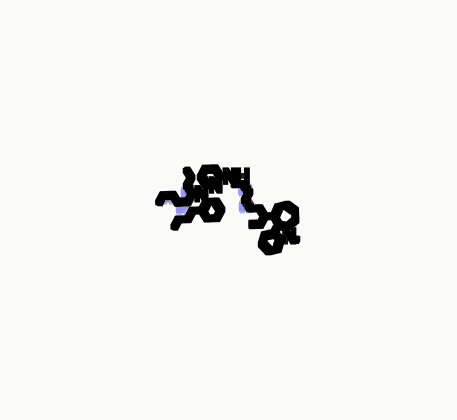 C=CC(C/C=C\C=C/CNc1cccc(N(C2=C(CCCC)CCC=C2)C(/C=C\C=C/C)=C\CC)n1)C1=CC=CCc2c1c1ccccc1n2C